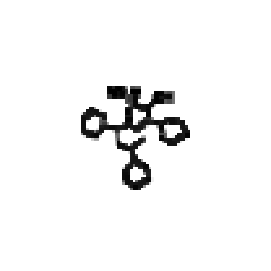 CC(CC(c1ccccc1)c1cc(-c2ccccc2)c(O)c(S(=O)(=O)O)c1)c1ccccc1